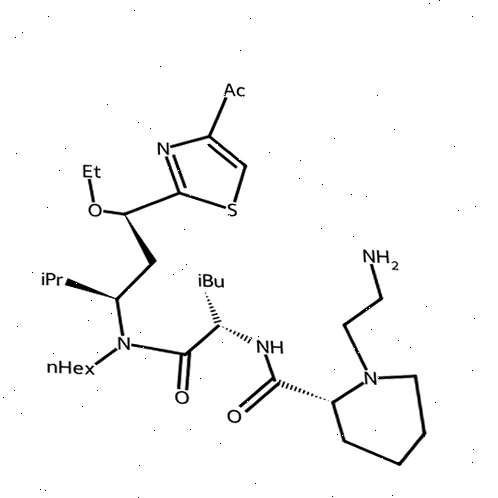 CCCCCCN(C(=O)[C@@H](NC(=O)[C@H]1CCCCN1CCN)[C@@H](C)CC)[C@H](C[C@@H](OCC)c1nc(C(C)=O)cs1)C(C)C